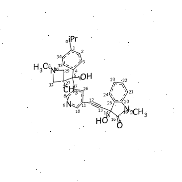 CC(C)c1ccc(C(O)(c2cncc(C#CC3(O)C(=O)N(C)c4ccccc43)c2)C2(C)CN(C)C2)cc1